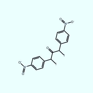 O=C(C(I)c1ccc([N+](=O)[O-])cc1)C(I)c1ccc([N+](=O)[O-])cc1